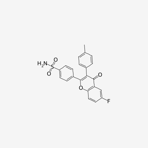 Cc1ccc(-c2c(-c3ccc(S(N)(=O)=O)cc3)oc3ccc(F)cc3c2=O)cc1